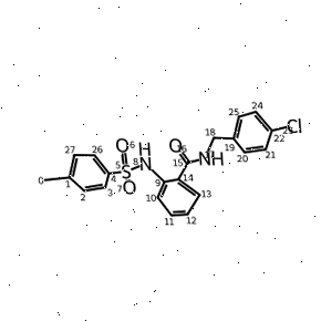 Cc1ccc(S(=O)(=O)Nc2ccccc2C(=O)NCc2ccc(Cl)cc2)cc1